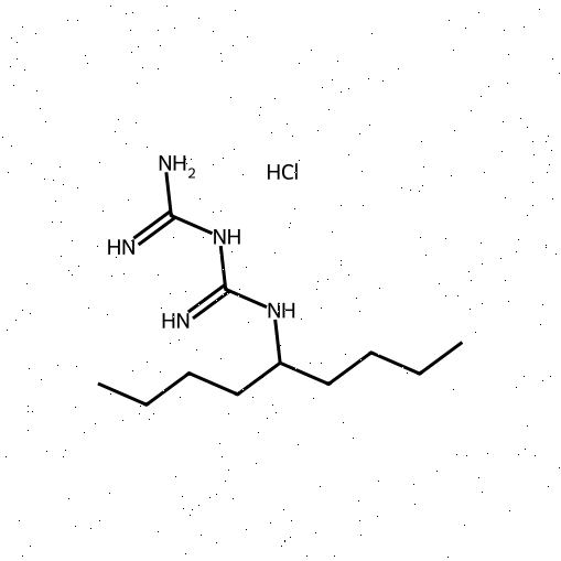 CCCCC(CCCC)NC(=N)NC(=N)N.Cl